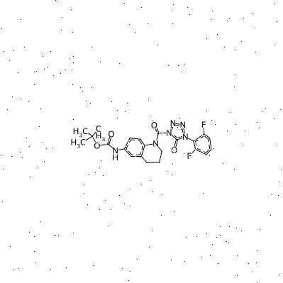 CC(C)(C)OC(=O)Nc1ccc2c(c1)CCCN2C(=O)n1nnn(-c2c(F)cccc2F)c1=O